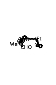 CCN(CCCCCOc1cccc2c1CN(C(CCC=O)C(=O)NC)C2=O)CCC1OCc2ccccc21